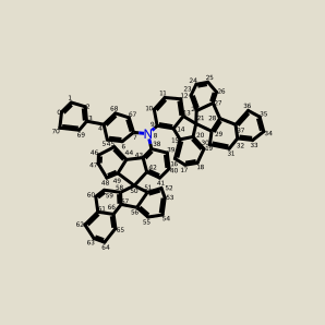 c1ccc(-c2ccc(N(c3cccc4c3-c3ccccc3C43c4ccccc4-c4c3ccc3ccccc43)c3cccc4c3-c3ccccc3C43c4ccccc4-c4c3ccc3ccccc43)cc2)cc1